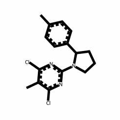 Cc1ccc(C2CCCN2c2nc(Cl)c(C)c(Cl)n2)cc1